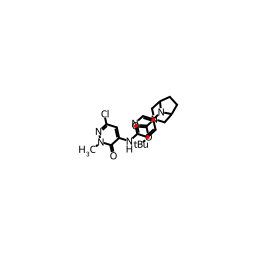 Cn1nc(Cl)cc(Nc2ccc(N3C4CCC3CN(C(=O)OC(C)(C)C)C4)cn2)c1=O